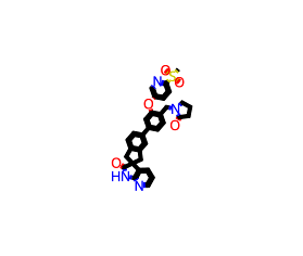 CS(=O)(=O)c1ccc(Oc2cc(-c3ccc4c(c3)CC3(C4)C(=O)Nc4ncccc43)ccc2CN2CCCC2=O)cn1